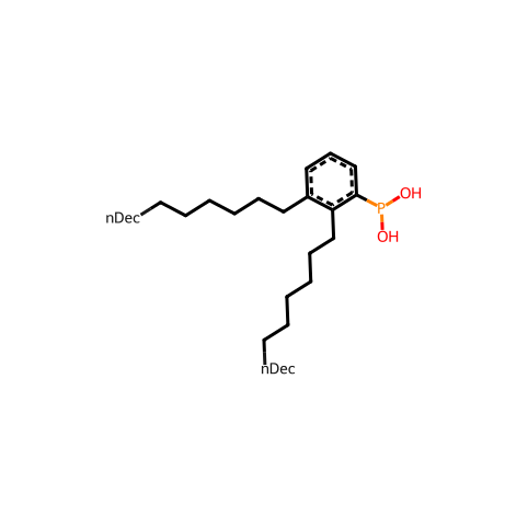 CCCCCCCCCCCCCCCCc1cccc(P(O)O)c1CCCCCCCCCCCCCCCC